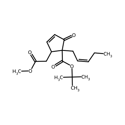 CC/C=C\CC1(C(=O)OC(C)(C)C)C(=O)C=CC1CC(=O)OC